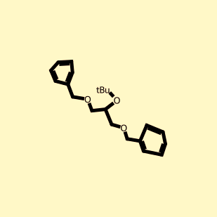 CC(C)(C)OC(COCc1ccccc1)COCc1ccccc1